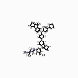 CC(C)(C)/C(S)=C(O)/C(O)=C/c1cc(-n2c3ccccc3c3cc(-c4ccc(N(c5ccc(-c6ccccc6)cc5)c5ccc6c(c5)C(C)(C)c5ccccc5-6)cc4)ccc32)cc(C(C)(C)C)c1